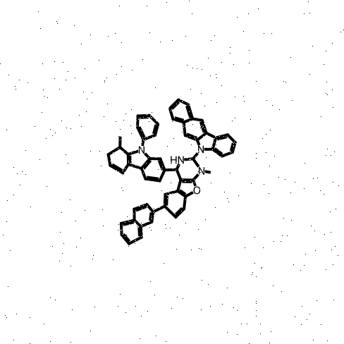 CC1CC=Cc2c1n(-c1ccccc1)c1cc(C3NC(n4c5ccccc5c5cc6ccccc6cc54)N(C)c4oc5ccc(-c6ccc7ccccc7c6)cc5c43)ccc21